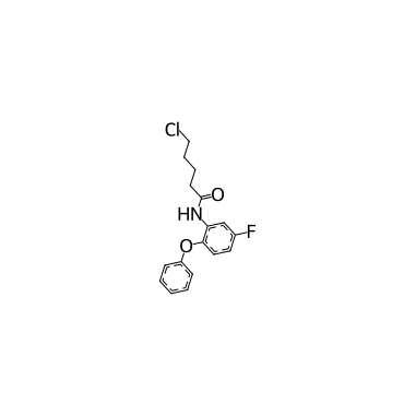 O=C(CCCCCl)Nc1cc(F)ccc1Oc1ccccc1